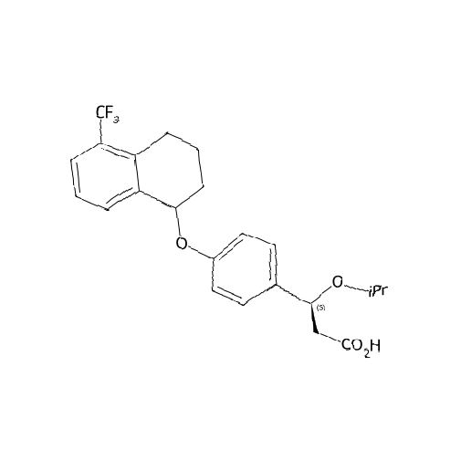 CC(C)O[C@@H](CC(=O)O)c1ccc(OC2CCCc3c2cccc3C(F)(F)F)cc1